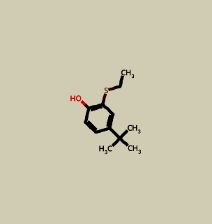 CCSc1cc(C(C)(C)C)ccc1O